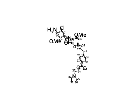 COc1cc(N)c(Cl)cc1C(=O)N[C@@H]1CCN(CCCc2ccc(C(=O)OCCN3CCCC3)cc2)C[C@@H]1OC